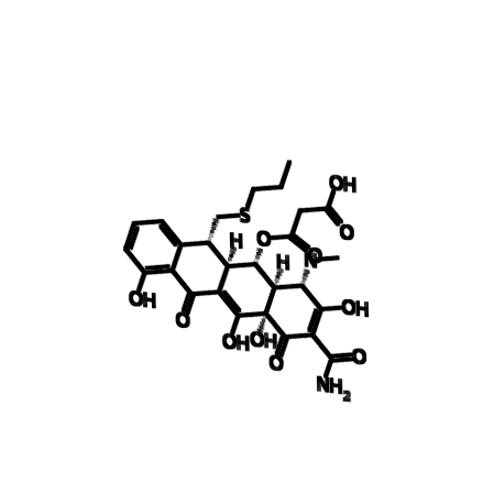 CCCSC[C@H]1c2cccc(O)c2C(=O)C2=C(O)[C@]3(O)C(=O)C(C(N)=O)=C(O)[C@@H](N(C)C)[C@@H]3[C@@H](OC(=O)CC(=O)O)[C@@H]21